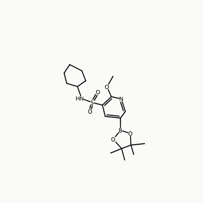 COc1ncc(B2OC(C)(C)C(C)(C)O2)cc1S(=O)(=O)NC1CCCCC1